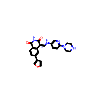 O=C1NC(=O)c2ccc(-c3ccoc3)cc2/C1=C/Nc1ccc(N2CCNCC2)nc1